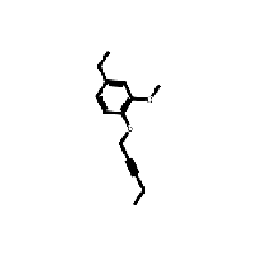 CCC#CCOc1ccc(CC)cc1OC